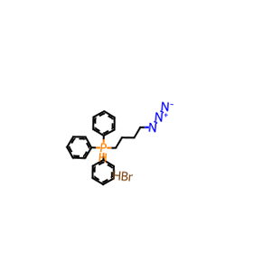 Br.[N-]=[N+]=NCCCC[PH](c1ccccc1)(c1ccccc1)c1ccccc1